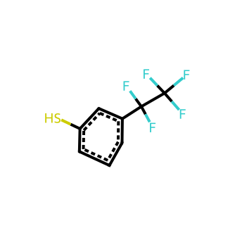 FC(F)(F)C(F)(F)c1cccc(S)c1